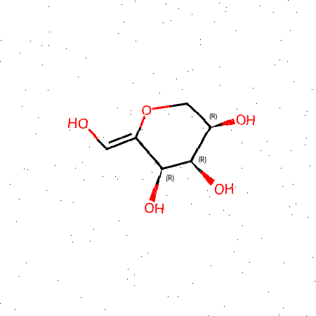 OC=C1OC[C@@H](O)[C@@H](O)[C@H]1O